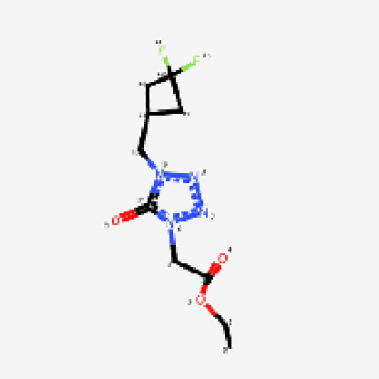 CCOC(=O)Cn1nnn(CC2CC(F)(F)C2)c1=O